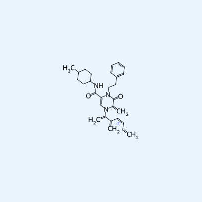 C=C/C=C\C(=C)C(=C)N1C=C(C(=O)NC2CCC(C)CC2)N(CCc2ccccc2)C(=O)C1=C